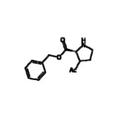 CC(=O)C1CCN[C@@H]1C(=O)OCc1ccccc1